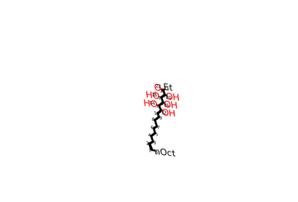 CCCCCCCC/C=C\CCCCCCCCC(O)[C@@H](O)[C@@H](O)[C@H](O)[C@@H](O)C(=O)CC